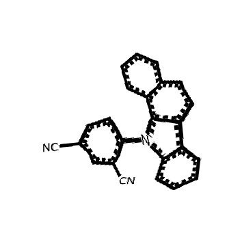 N#Cc1ccc(-n2c3ccccc3c3ccc4ccccc4c32)c(C#N)c1